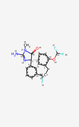 CCc1cc([C@]2(c3cccc(CF)c3)N=C(N)N(C)C2=O)ccc1OC(F)F